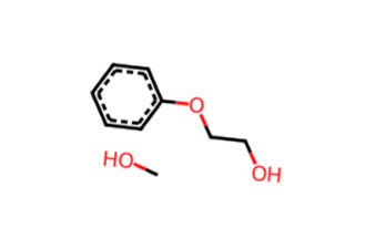 CO.OCCOc1ccccc1